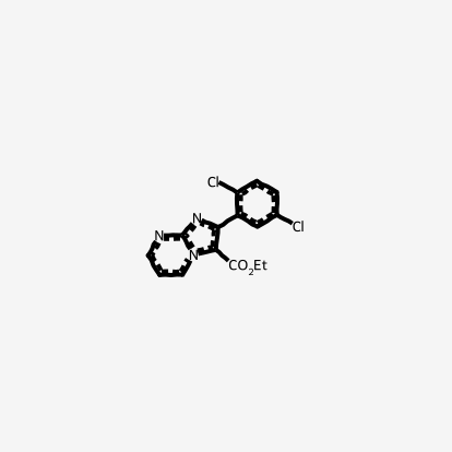 CCOC(=O)c1c(-c2cc(Cl)ccc2Cl)nc2ncccn12